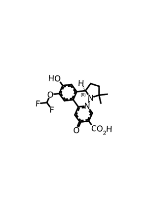 CC1(C)CC[C@@H]2c3cc(O)c(OC(F)F)cc3-c3cc(=O)c(C(=O)O)cn3N21